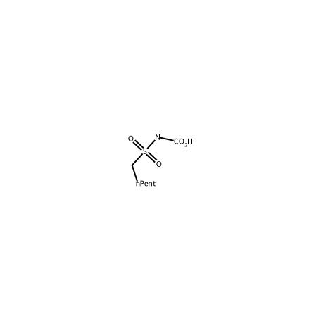 CCCCCCS(=O)(=O)[N]C(=O)O